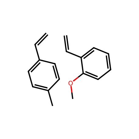 C=Cc1ccc(C)cc1.C=Cc1ccccc1OC